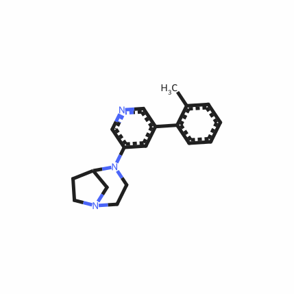 Cc1ccccc1-c1cncc(N2CCN3CCC2C3)c1